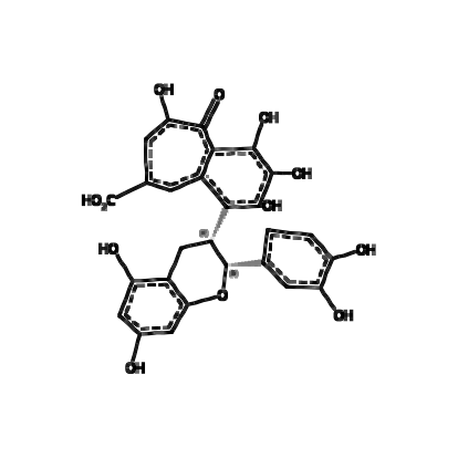 O=C(O)c1cc(O)c(=O)c2c(O)c(O)c(O)c([C@H]3Cc4c(O)cc(O)cc4O[C@H]3c3ccc(O)c(O)c3)c2c1